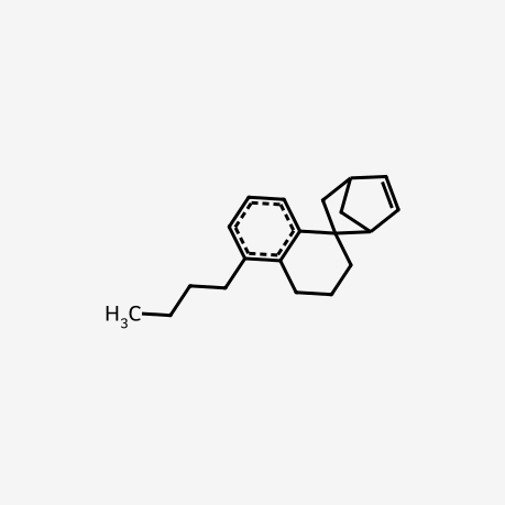 CCCCc1cccc2c1CCCC21CC2C=CC1C2